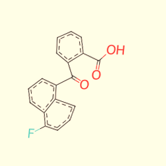 O=C(O)c1ccccc1C(=O)c1cccc2c(F)cccc12